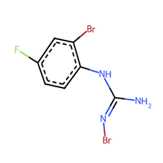 NC(=NBr)Nc1ccc(F)cc1Br